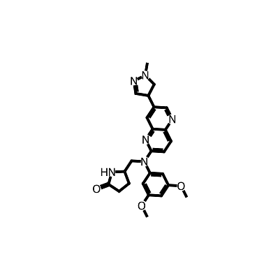 COc1cc(OC)cc(N(CC2CCC(=O)N2)c2ccc3ncc(C4C=NN(C)C4)cc3n2)c1